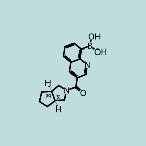 O=C(c1cnc2c(B(O)O)cccc2c1)N1C[C@H]2CCC[C@H]2C1